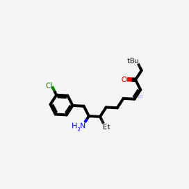 CCC(CCC/C=C\C(=O)CC(C)(C)C)C(N)Cc1cccc(Cl)c1